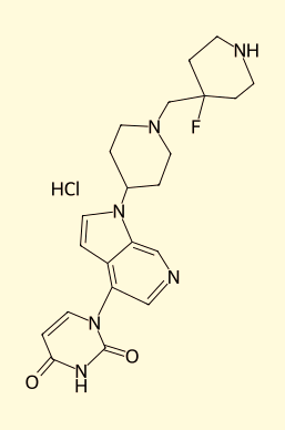 Cl.O=c1ccn(-c2cncc3c2ccn3C2CCN(CC3(F)CCNCC3)CC2)c(=O)[nH]1